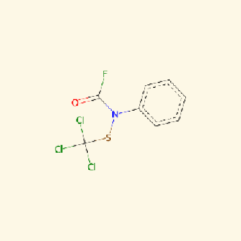 O=C(F)N(SC(Cl)(Cl)Cl)c1ccccc1